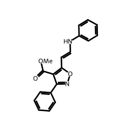 COC(=O)c1c(-c2ccccc2)noc1C=CNc1ccccc1